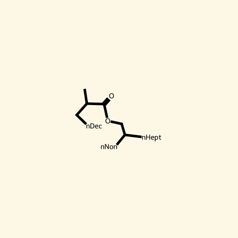 CCCCCCCCCCCC(C)C(=O)OCC(CCCCCCC)CCCCCCCCC